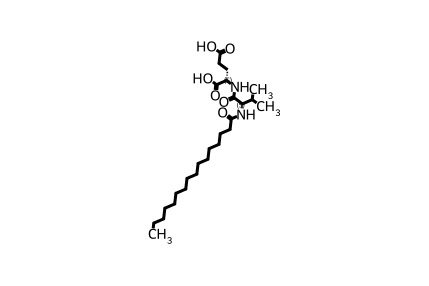 CCCCCCCCCCCCCCCC(=O)N[C@H](C(=O)N[C@@H](CCC(=O)O)C(=O)O)C(C)C